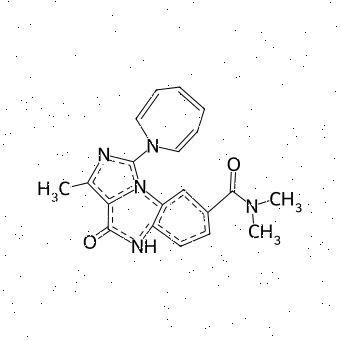 Cc1nc(N2C=CC=CC=C2)n2c1c(=O)[nH]c1ccc(C(=O)N(C)C)cc12